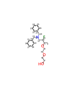 CC(OCCOCCO)C(F)CN(Cc1ccccc1)Cc1ccccc1